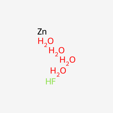 F.O.O.O.O.[Zn]